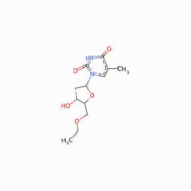 CCOCC1OC(n2cc(C)c(=O)[nH]c2=O)CC1O